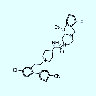 CCOc1cccc(F)c1CN1CCN(C(=O)[C@H](N)C2CCN(CCc3cc(Cl)ccc3-c3ccc(C#N)cc3)CC2)CC1